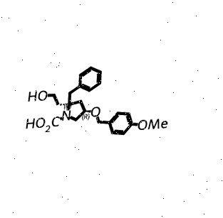 COc1ccc(CO[C@H]2CN(C(=O)O)[C@@](CCO)(Cc3ccccc3)C2)cc1